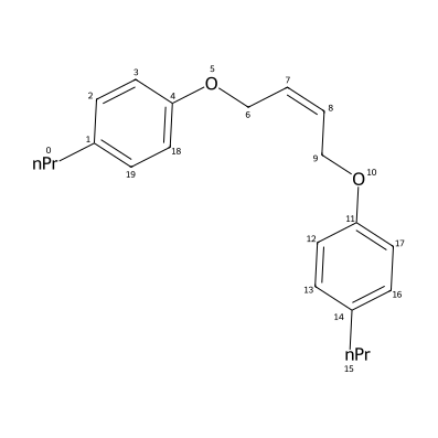 CCCc1ccc(OC/C=C\COc2ccc(CCC)cc2)cc1